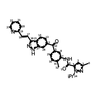 Cc1cc(C(=O)Nc2cc(C(=O)c3ccc4c(C=Cc5ccccn5)n[nH]c4c3)ccc2C)n(C(C)C)n1